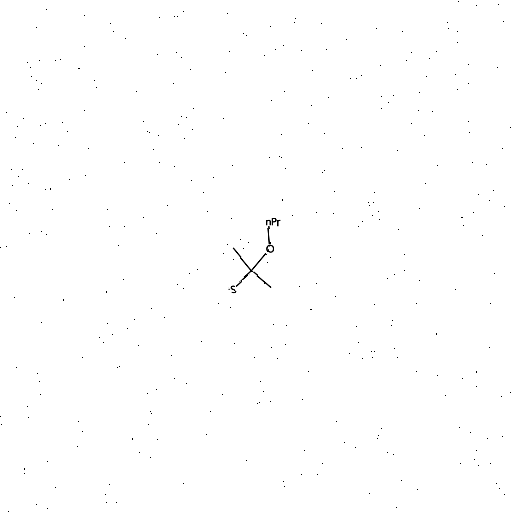 CCCOC(C)(C)[S]